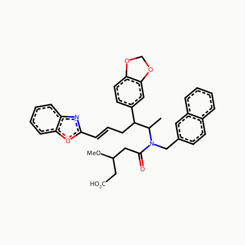 COC(CC(=O)O)CC(=O)N(Cc1ccc2ccccc2c1)C(C)C(CC=Cc1nc2ccccc2o1)c1ccc2c(c1)OCO2